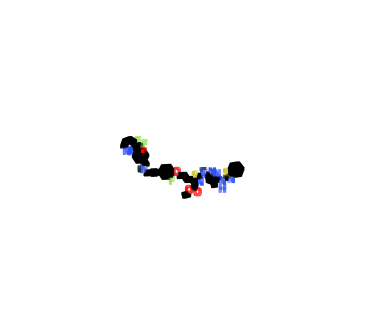 CCOC(=O)c1nc(N(C)c2cc(C)c(Nc3nc4ccccc4s3)nn2)sc1CCCOc1ccc(C#CCN(C)Cc2ccc(C3(C(F)(F)F)C=CC=CN=N3)cc2)cc1F